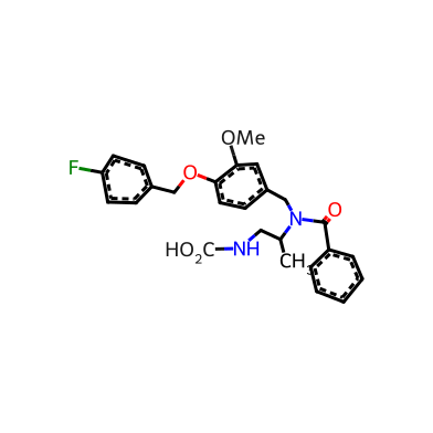 COc1cc(CN(C(=O)c2ccccc2)C(C)CNC(=O)O)ccc1OCc1ccc(F)cc1